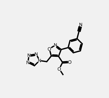 COC(=O)c1c(-c2cccc(C#N)c2)noc1Cn1cnnn1